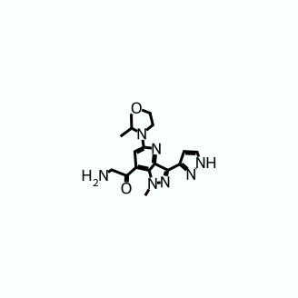 CC1COCCN1c1cc(C(=O)CN)c2c(n1)c(-c1cc[nH]n1)nn2C